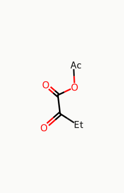 CCC(=O)C(=O)OC(C)=O